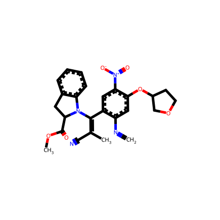 C=Nc1cc(OC2CCOC2)c([N+](=O)[O-])cc1/C(=C(\C)C#N)N1c2ccccc2CC1C(=O)OC